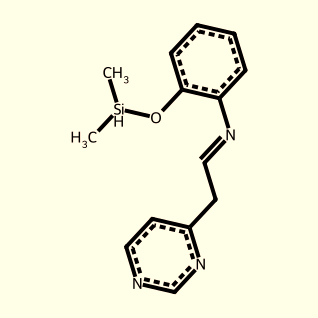 C[SiH](C)Oc1ccccc1N=CCc1ccncn1